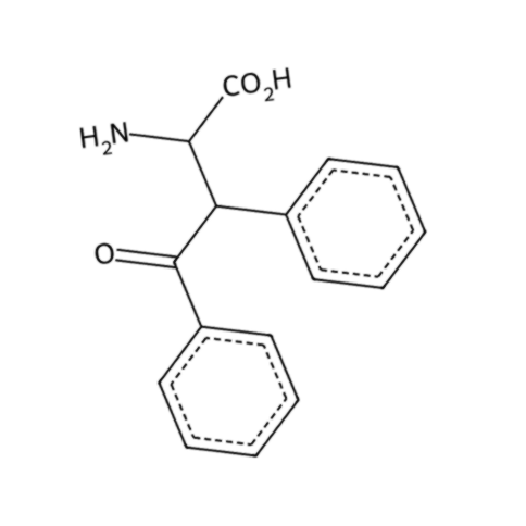 NC(C(=O)O)C(C(=O)c1ccccc1)c1ccccc1